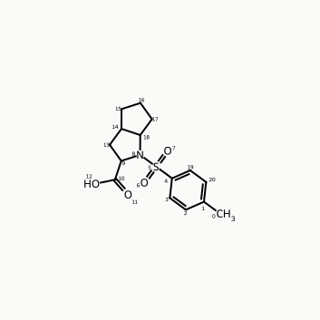 Cc1ccc(S(=O)(=O)N2C(C(=O)O)CC3CCCC32)cc1